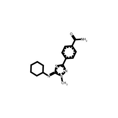 Cn1nc(-c2ccc(C(N)=O)cc2)sc1=NC1CCCCC1